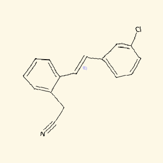 N#CCc1ccccc1/C=C/c1cccc(Cl)c1